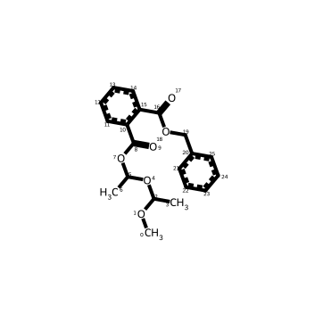 COC(C)OC(C)OC(=O)c1ccccc1C(=O)OCc1ccccc1